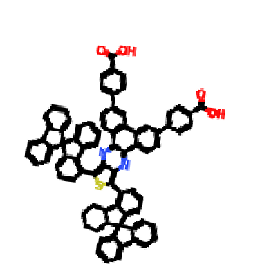 O=C(O)c1ccc(-c2ccc3c(c2)c2cc(-c4ccc(C(=O)O)cc4)ccc2c2nc4c(-c5cccc6c5C5CCCCC5C65c6ccccc6-c6ccccc65)sc(-c5cccc6c5-c5ccccc5C65c6ccccc6-c6ccccc65)c4nc32)cc1